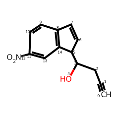 C#CCC(O)C1C=Cc2ccc([N+](=O)[O-])cc21